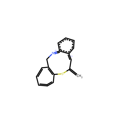 C=C1/C=c2/cccc/c2=N/CC2=C(C=C=CC=C2)S1